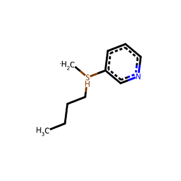 [CH2][SH](CCCC)c1cccnc1